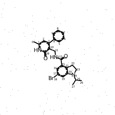 Cc1cc(-c2ccccc2)c(CNC(=O)c2cc(Br)cc3c2CCN3C(C)C)c(=O)[nH]1